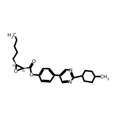 CCCCC[C@@H]1O[C@@H]1C(=O)Oc1ccc(-c2cnc(C3CCC(C)CC3)nc2)cc1